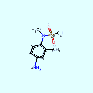 Cc1cc(N)ccc1N(C)S(C)(=O)=O